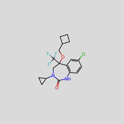 O=C1Nc2ccc(Cl)cc2C(OCC2CCC2)(C(F)(F)F)CN1C1CC1